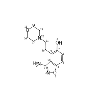 Nc1noc2ccc(O)c(CCN3CCOCC3)c12